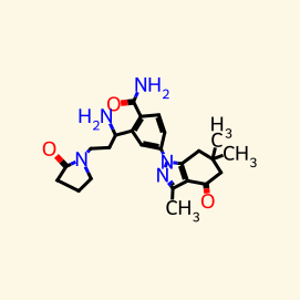 Cc1nn(-c2ccc(C(N)=O)c(C(N)CCN3CCCC3=O)c2)c2c1C(=O)CC(C)(C)C2